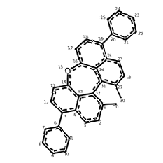 Cc1ccc2c(-c3ccccc3)ccc3oc4ccc(-c5ccccc5)c5ccc(C)c(c1c32)c45